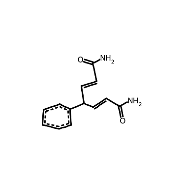 NC(=O)C=CC(C=CC(N)=O)c1ccccc1